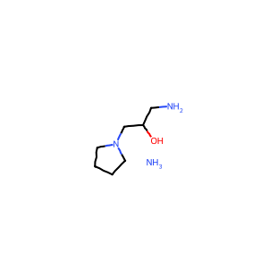 N.NCC(O)CN1CCCC1